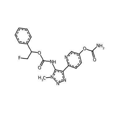 Cn1nnc(-c2ccc(OC(N)=O)cn2)c1NC(=O)OC(CF)c1ccccc1